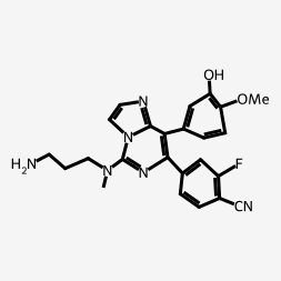 COc1ccc(-c2c(-c3ccc(C#N)c(F)c3)nc(N(C)CCCN)n3ccnc23)cc1O